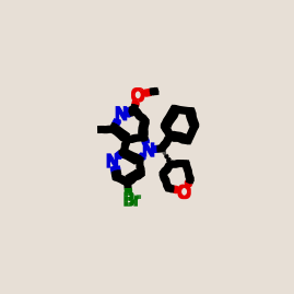 COc1cc2c(c(C)n1)c1ncc(Br)cc1n2[C@H](c1ccccc1)C1CCOCC1